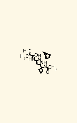 CC(=O)NC1(c2cc(NC(=O)C(C)C)[nH]n2)CCC1.c1cc2cc-2c1